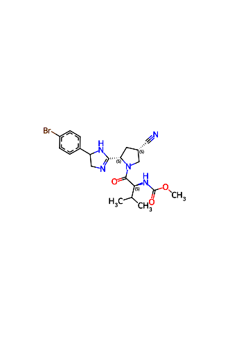 COC(=O)N[C@H](C(=O)N1C[C@@H](C#N)C[C@H]1C1=NCC(c2ccc(Br)cc2)N1)C(C)C